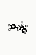 CC(O)(c1ccncc1)c1cnc(-c2ccc(F)c(Cl)c2)s1